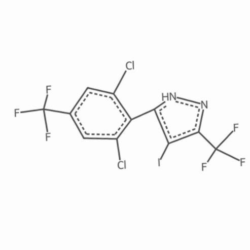 FC(F)(F)c1cc(Cl)c(-c2[nH]nc(C(F)(F)F)c2I)c(Cl)c1